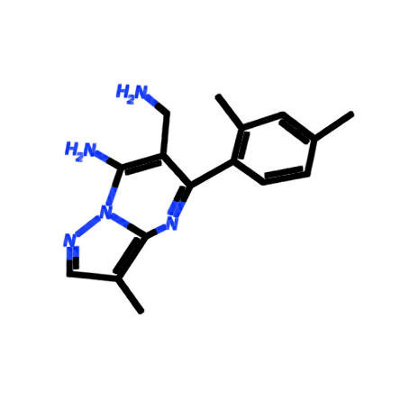 Cc1ccc(-c2nc3c(C)cnn3c(N)c2CN)c(C)c1